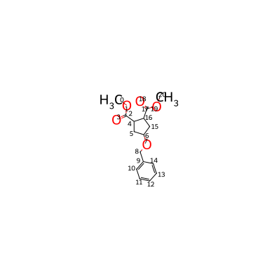 COC(=O)C1CC(OCc2ccccc2)CC1C(=O)OC